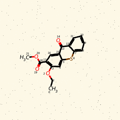 CCOc1cc2sc3ccccc3c(=O)c2cc1C(=O)OC